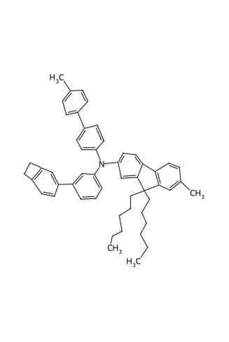 CCCCCCC1(CCCCCC)c2cc(C)ccc2-c2ccc(N(c3ccc(-c4ccc(C)cc4)cc3)c3cccc(-c4ccc5c(c4)CC5)c3)cc21